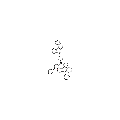 c1ccc(-c2ccc(N(c3ccc(-c4cc5ccc6ccccc6c5c5ccccc45)cc3)c3ccccc3-c3ccccc3-n3c4ccccc4c4ccccc43)cc2)cc1